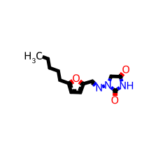 CCCCCc1ccc(C=NN2CC(=O)NC2=O)o1